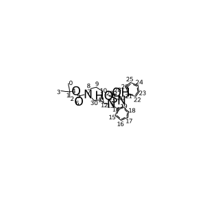 CC(C)(C)OC(=O)N1CCCC(CN2c3ccccc3N(c3ccccc3)S2(O)O)C1